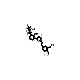 CCc1c(-c2ccc(CCc3ccc(CO)c(CO)c3)s2)cccc1C(F)(F)C(O)(F)C(F)(F)F